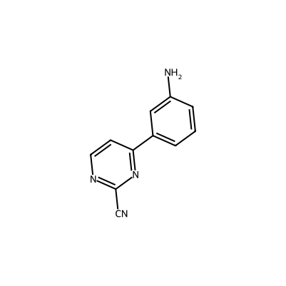 N#Cc1nccc(-c2cccc(N)c2)n1